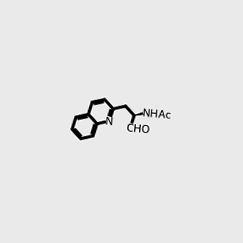 CC(=O)N[C@@H](C=O)Cc1ccc2ccccc2n1